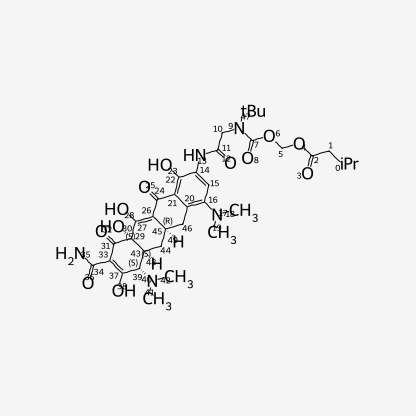 CC(C)CC(=O)OCOC(=O)N(CC(=O)Nc1cc(N(C)C)c2c(c1O)C(=O)C1=C(O)[C@]3(O)C(=O)C(C(N)=O)=C(O)[C@@H](N(C)C)[C@@H]3C[C@@H]1C2)C(C)(C)C